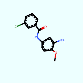 COc1ccc(NC(=O)c2cccc(Cl)c2)cc1N